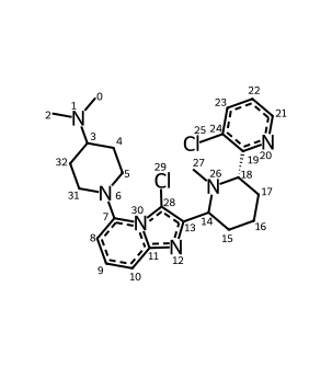 CN(C)C1CCN(c2cccc3nc(C4CCC[C@@H](c5ncccc5Cl)N4C)c(Cl)n23)CC1